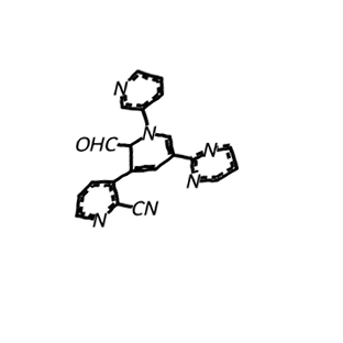 N#Cc1ncccc1C1=CC(c2ncccn2)=CN(c2cccnc2)C1C=O